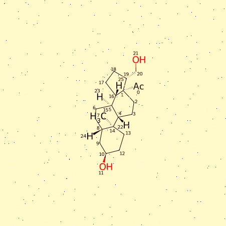 CC(=O)[C@]12CC[C@H]3[C@@H](CC[C@H]4C[C@H](O)CC[C@@]43C)[C@@H]1CC[C@@H]2CO